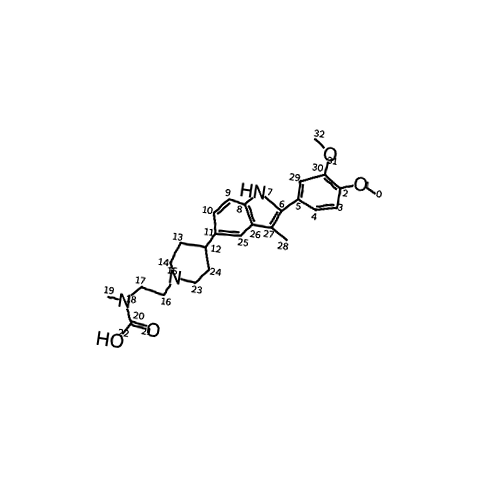 COc1ccc(-c2[nH]c3ccc(C4CCN(CCN(C)C(=O)O)CC4)cc3c2C)cc1OC